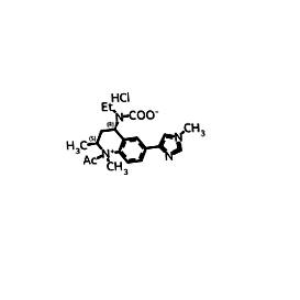 CCN(C(=O)[O-])[C@@H]1C[C@H](C)[N+](C)(C(C)=O)c2ccc(-c3cn(C)cn3)cc21.Cl